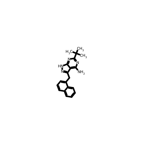 CC(C)(C)c1nc(N)c2c(Cc3cccc4ccccc34)n[nH]c2n1